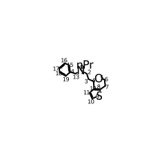 CCCN(CCC1OCCc2sccc21)Cc1ccccc1